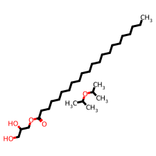 CC(C)OC(C)C.CCCCCCCCCCCCCCCCCCCCCC(=O)OCC(O)CO